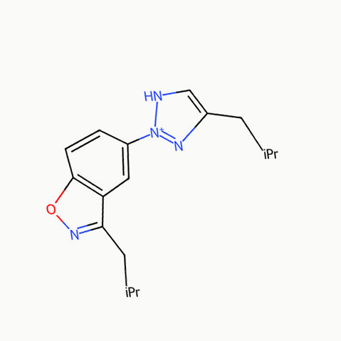 CC(C)Cc1c[nH][n+](-c2ccc3onc(CC(C)C)c3c2)n1